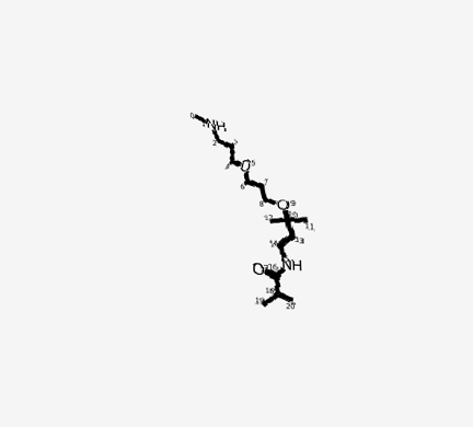 CNCCCOCCCOC(C)(C)CCNC(=O)C(C)C